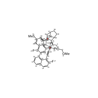 COCOCC1Oc2nc(-c3cccc4ccc(F)c(C#C[Si](C(C)C)(C(C)C)C(C)C)c34)c(F)c3nc(SC)nc(c23)N2CC3CCC(C12)N3C(=O)O